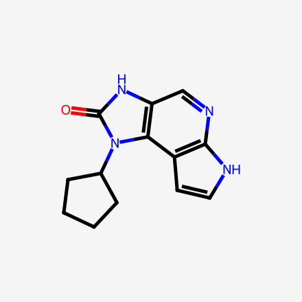 O=c1[nH]c2cnc3[nH]ccc3c2n1C1CCCC1